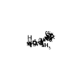 CN(CCc1ccc(C2=NCCN2)cc1)C(=O)CCNCS(=O)(=O)c1c(Cl)cccc1Cl